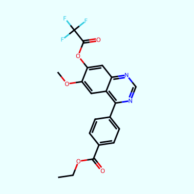 CCOC(=O)c1ccc(-c2ncnc3cc(OC(=O)C(F)(F)F)c(OC)cc23)cc1